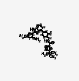 Cn1cc(N)c(-c2nc3c(-c4ccc(CNC(=O)c5nc(C(C)(C)C)no5)c(F)c4)ccnc3[nH]2)n1